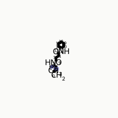 C=C/C=C\C(=C/C)NC(=O)CCC(=O)Nc1ccccc1